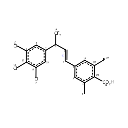 Cc1cc(/C=C/C(c2cc(Cl)c(Cl)c(Cl)c2)C(F)(F)F)cc(F)c1C(=O)O